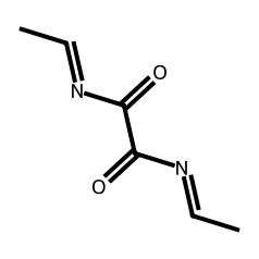 CC=NC(=O)C(=O)N=CC